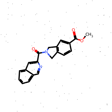 COC(=O)c1ccc2c(c1)CN(C(=O)c1cc3ccccc3cn1)C2